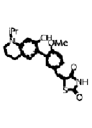 COc1ccc(/C=C2/SC(=O)NC2=O)cc1-c1cc2c(cc1C)N(C(C)C)CCC2